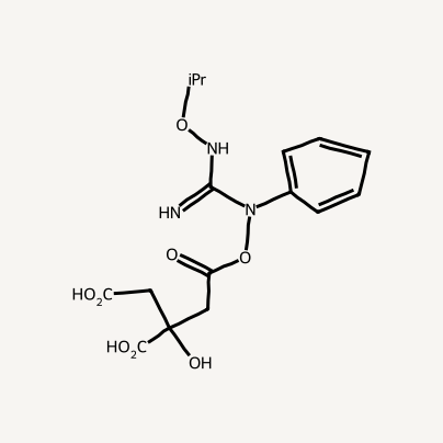 CC(C)ONC(=N)N(OC(=O)CC(O)(CC(=O)O)C(=O)O)c1ccccc1